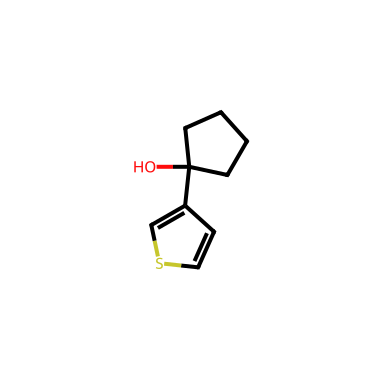 OC1(c2ccsc2)CCCC1